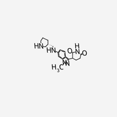 Cn1nc(C2CCC(=O)NC2=O)c2ccc(NC[C@H]3CCCNC3)cc21